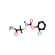 CC(C)C(=O)C(C)(C)SN(C)C(=O)Oc1ccccc1Cl